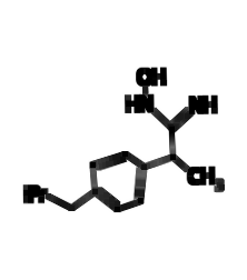 CC(C)Cc1ccc(C(C)C(=N)NO)cc1